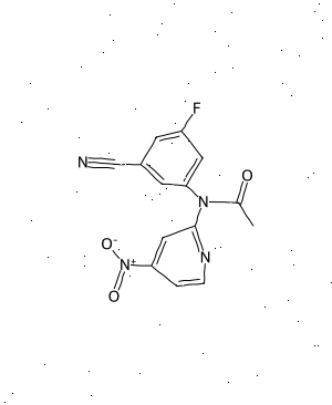 CC(=O)N(c1cc(F)cc(C#N)c1)c1cc([N+](=O)[O-])ccn1